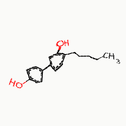 CCCCCc1ccc(-c2ccc(O)cc2)cc1O